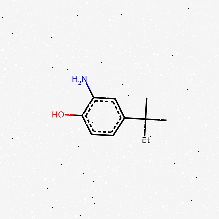 CCC(C)(C)c1ccc(O)c(N)c1